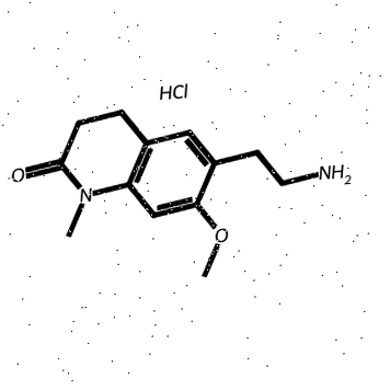 COc1cc2c(cc1CCN)CCC(=O)N2C.Cl